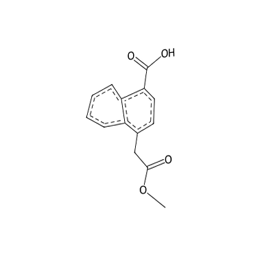 COC(=O)Cc1ccc(C(=O)O)c2ccccc12